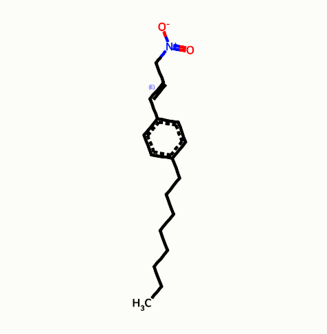 CCCCCCCCc1ccc(/C=C/C[N+](=O)[O-])cc1